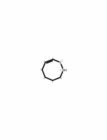 C1=C\SNCCCC/1